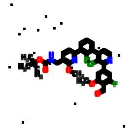 COc1cc(-c2nccc(-c3cccc(-c4ccc(CNC(=O)OC(C)(C)C)c(OC)n4)c3Cl)c2Cl)cc(F)c1C=O